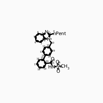 CCCCCc1nc2ccccc2n1Cc1ccc(-c2ccccc2C(=O)NS(C)(=O)=O)cc1